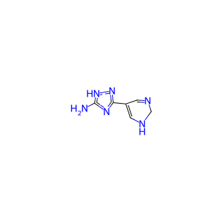 Nc1nc(C2=CNCN=C2)n[nH]1